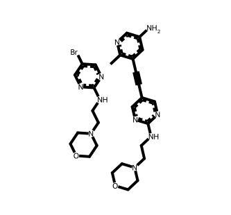 Brc1cnc(NCCN2CCOCC2)nc1.Cc1ncc(N)cc1C#Cc1cnc(NCCN2CCOCC2)nc1